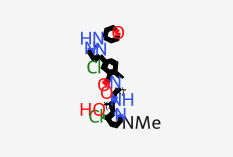 CNc1ccc(Cl)c([C@@H](CO)NC(=O)[C@@H](C)N2Cc3ccc(-c4nc(NC5CCOCC5)ncc4Cl)cc3C2=O)n1